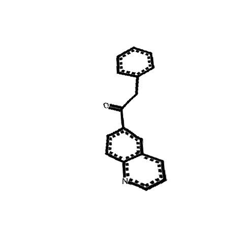 O=C(Cc1ccccc1)c1ccc2ncccc2c1